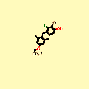 Cc1cc(OCC(=O)O)cc(C)c1Cc1ccc(O)c(C(C)C)c1F